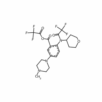 CN1CCN(c2ccc(N(C(=O)C(F)(F)F)C3CCOCC3)c(C(=O)OC(=O)C(F)(F)F)c2)CC1